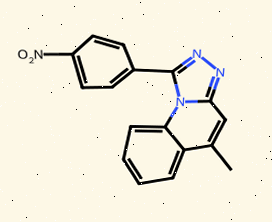 Cc1cc2nnc(-c3ccc([N+](=O)[O-])cc3)n2c2ccccc12